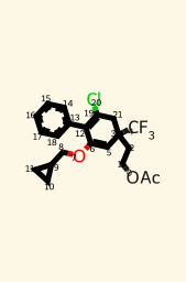 CC(=O)OCCC1(C(F)(F)F)C=C(OCC2CC2)C(c2ccccc2)=C(Cl)C1